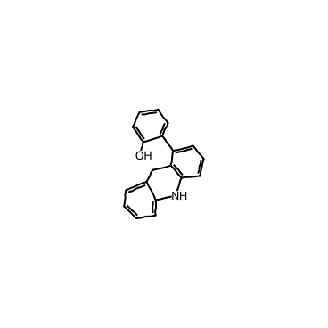 Oc1ccccc1-c1cccc2c1Cc1ccccc1N2